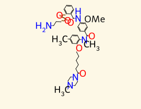 COc1cc(C(=O)N(C)c2ccc(C)cc2OCCCCCC(=O)N2CCN(C)CC2)ccc1NC(=O)c1ccccc1S(=O)(=O)CCCN